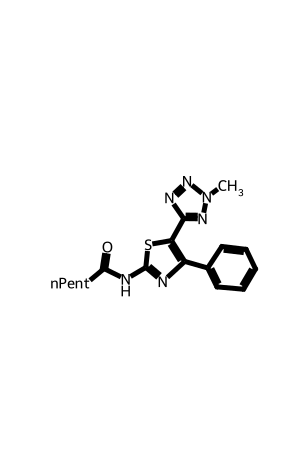 CCCCCC(=O)Nc1nc(-c2ccccc2)c(-c2nnn(C)n2)s1